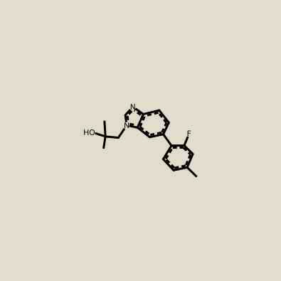 Cc1ccc(-c2ccc3ncn(CC(C)(C)O)c3c2)c(F)c1